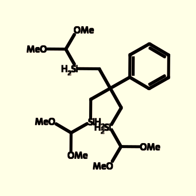 COC(OC)[SiH2]CC(C[SiH2]C(OC)OC)(C[SiH2]C(OC)OC)c1ccccc1